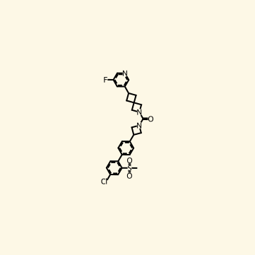 CS(=O)(=O)c1cc(Cl)ccc1-c1ccc(C2CN(C(=O)N3CC4(CC(c5cncc(F)c5)C4)C3)C2)cc1